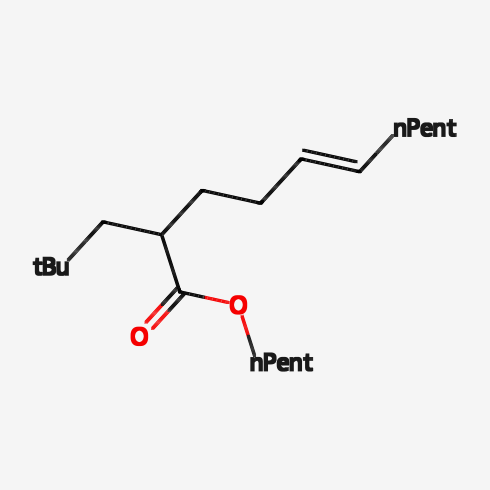 CCCCCC=CCCC(CC(C)(C)C)C(=O)OCCCCC